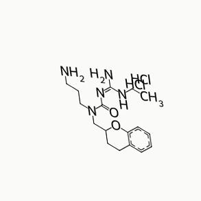 CCNC(N)=NC(=O)N(CCCN)CC1CCc2ccccc2O1.Cl.Cl